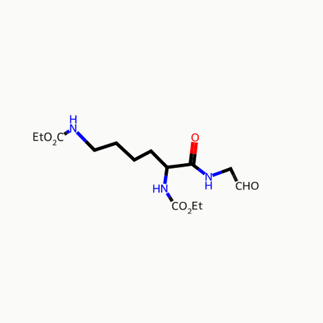 CCOC(=O)NCCCCC(NC(=O)OCC)C(=O)NCC=O